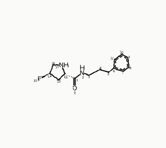 O=C(NCCCc1ccccc1)[C@@H]1C[C@@H](F)CN1